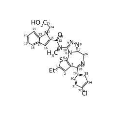 CCc1cc2c(s1)-n1c(nnc1N(C)C(=O)c1cc3ccccc3n1CC(=O)O)CN=C2c1ccc(Cl)cc1